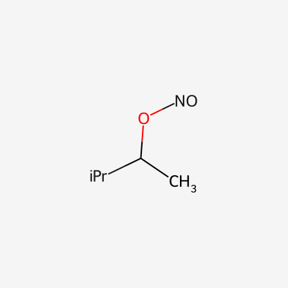 CC(C)C(C)ON=O